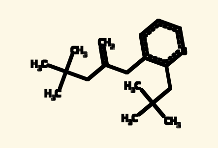 C=C(Cc1cccbc1CC(C)(C)C)CC(C)(C)C